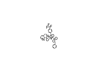 O=C(OCc1ccccc1)c1nc(N2CCc3cccnc3C2=O)c(-c2ccc(C(F)(F)F)cc2)o1